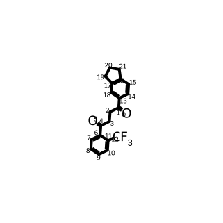 O=C(CCC(=O)c1ccccc1C(F)(F)F)c1ccc2c(c1)CCC2